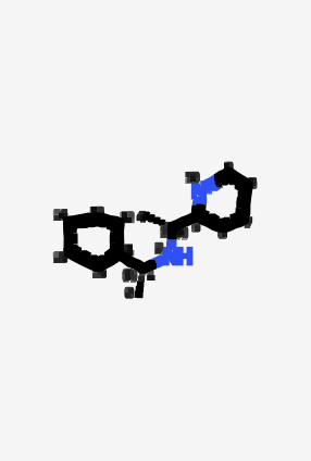 C[C@@H](N[C@H](C)c1ccccn1)c1ccccc1